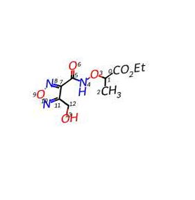 CCOC(=O)C(C)ONC(=O)c1nonc1CO